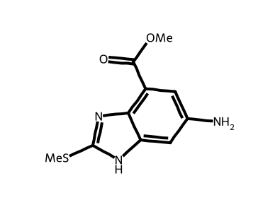 COC(=O)c1cc(N)cc2[nH]c(SC)nc12